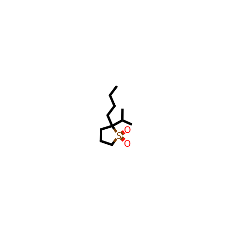 CCCCC1(C(C)C)CCCS1(=O)=O